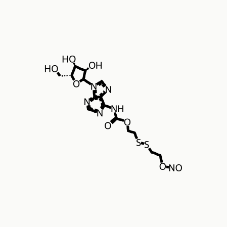 O=NOCCSSCCOC(=O)Nc1ncnc2c1ncn2C1O[C@H](CO)[C@@H](O)[C@H]1O